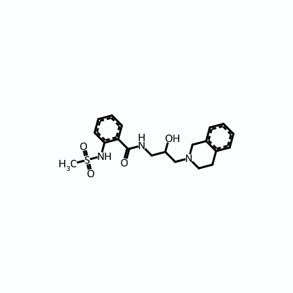 CS(=O)(=O)Nc1ccccc1C(=O)NCC(O)CN1CCc2ccccc2C1